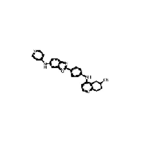 N#CC1CCc2nccc(Nc3ccc(-c4nc5ccc(Nc6ccncc6)cc5o4)cc3)c2C1